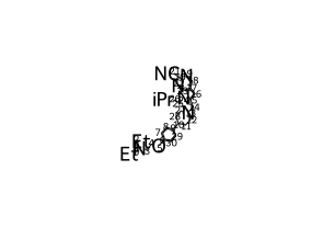 CCN(CC)CCOc1ccc(C2CCN(Cc3cc4cnc(C#N)nc4n3CC(C)C)CC2)cc1